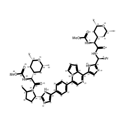 CCC[C@H](NC(=O)[C@@H](NC(=O)OC)[C@H]1C[C@@H](C)O[C@@H](C)C1)c1ncc(-c2ncc(-c3ccc(-c4cnc([C@@H]5CCC(C)N5C(=O)C(NC(=O)OC)[C@H]5C[C@@H](C)O[C@@H](C)C5)[nH]4)cc3)n3cccc23)[nH]1